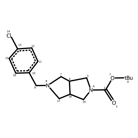 CC(C)(C)OC(=O)N1CC2CN(Cc3ccc(Cl)cc3)CC2C1